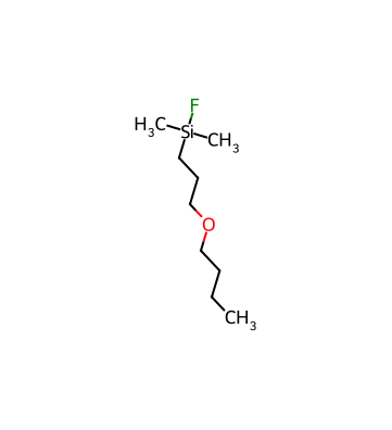 CCCCOCCC[Si](C)(C)F